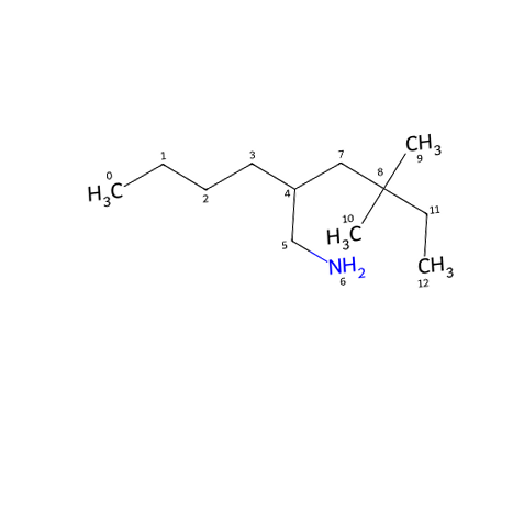 CCCCC(CN)CC(C)(C)CC